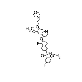 COc1cc2c(Oc3ccc4cc(NC(=O)c5cc(F)ccc5OC)ccc4c3F)ccnc2cc1OCCCN1CCOCC1